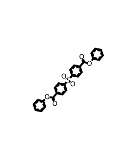 O=C(Oc1ccccc1)c1ccc(S(=O)(=O)c2ccc(C(=O)Oc3ccccc3)cc2)cc1